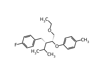 CCOC[C@H](Oc1ccc(C)cc1)[C@@H](Cc1ccc(F)cc1)C(C)C